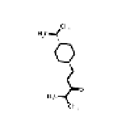 CC(C)C(=O)CC[C@H]1CC[C@H](C(C)C)CC1